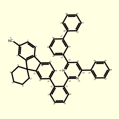 N#Cc1ccc2c(c1)C1(CCCCC1)c1cc(-c3ccccc3-c3nc(-c4ccccc4)cc(-c4cccc(-c5ccccc5)c4)n3)ccc1-2